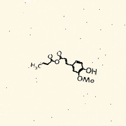 CC=CC(=O)OC(=O)C=Cc1ccc(O)c(OC)c1